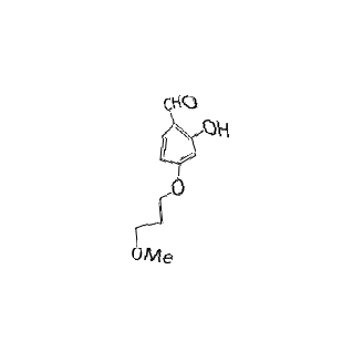 COCCCOc1ccc(C=O)c(O)c1